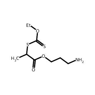 CCOC(=S)SC(C)C(=O)OCCCN